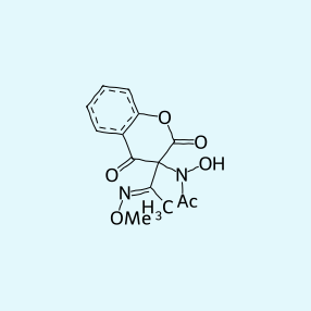 CON=C(C)C1(N(O)C(C)=O)C(=O)Oc2ccccc2C1=O